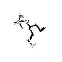 C=CCC(CC=NO)O[Si](C)(C)C(C)(C)C